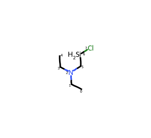 CCN(CC)C[SiH2]Cl